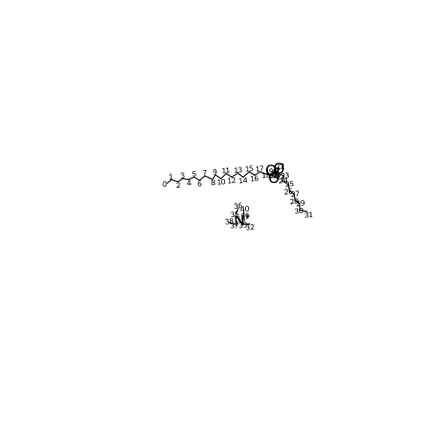 CCCCCCCCCCCCCCCCCCCOS(=O)(=O)CCCCCCCCC.CC[N+](CC)(CC)CC